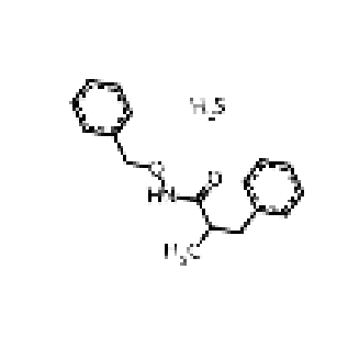 CC(Cc1ccccc1)C(=O)NOCc1ccccc1.S